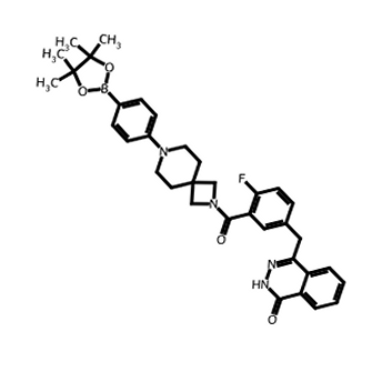 CC1(C)OB(c2ccc(N3CCC4(CC3)CN(C(=O)c3cc(Cc5n[nH]c(=O)c6ccccc56)ccc3F)C4)cc2)OC1(C)C